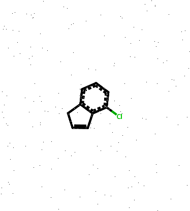 Clc1cc[c]c2c1C=CC2